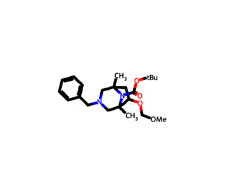 COCOC1CC2(C)CN(Cc3ccccc3)CC1(C)N2C(=O)OC(C)(C)C